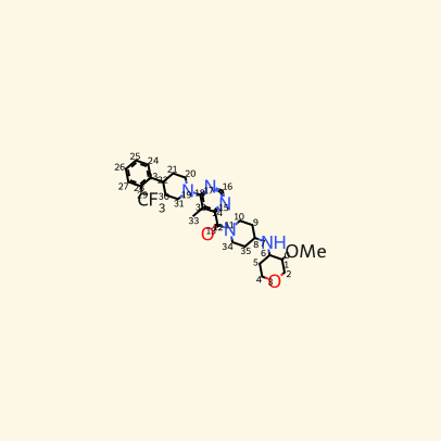 COC1COCCC1NC1CCN(C(=O)c2ncnc(N3CCC(c4ccccc4C(F)(F)F)CC3)c2C)CC1